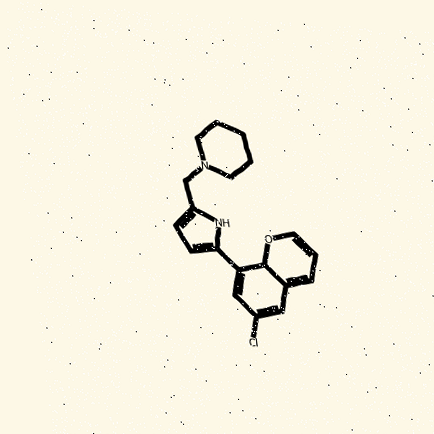 ClC1=CC2=CC=COC2C(c2ccc(CN3CCCCC3)[nH]2)=C1